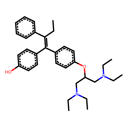 CCC(=C(c1ccc(O)cc1)c1ccc(OC(CN(CC)CC)CN(CC)CC)cc1)c1ccccc1